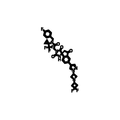 O=C1C[C@]2(NC(=O)N(CC(=O)N(Cc3ccc(F)cc3)C3(C(F)(F)F)CC3)C2=O)c2ccc(-c3cnn(C4CN(C5CC(F)(F)C5)C4)c3)cc21